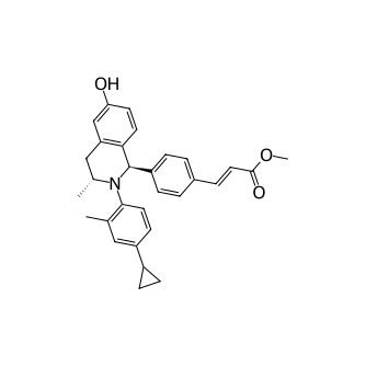 COC(=O)/C=C/c1ccc([C@@H]2c3ccc(O)cc3C[C@@H](C)N2c2ccc(C3CC3)cc2C)cc1